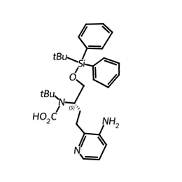 CC(C)(C)N(C(=O)O)[C@@H](CCc1ncccc1N)CO[Si](c1ccccc1)(c1ccccc1)C(C)(C)C